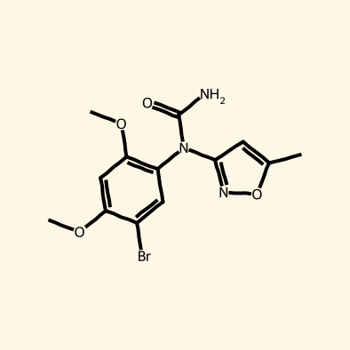 COc1cc(OC)c(N(C(N)=O)c2cc(C)on2)cc1Br